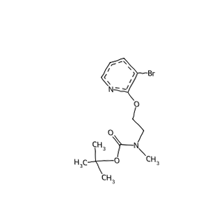 CN(CCOc1ncccc1Br)C(=O)OC(C)(C)C